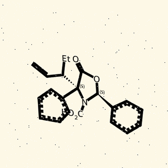 C=CC(CC)[C@]1(c2ccccc2)C(=O)O[C@@H](c2ccccc2)N1C(=O)O